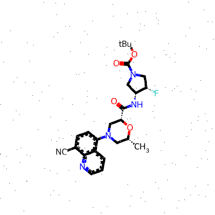 C[C@@H]1CN(c2ccc(C#N)c3ncccc23)C[C@H](C(=O)N[C@@H]2CN(C(=O)OC(C)(C)C)C[C@@H]2F)O1